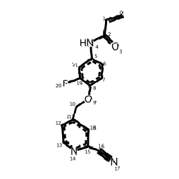 C=CC(=O)Nc1ccc(OCc2ccnc(C#N)c2)c(F)c1